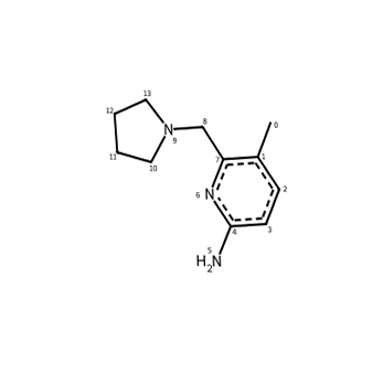 Cc1ccc(N)nc1CN1CCCC1